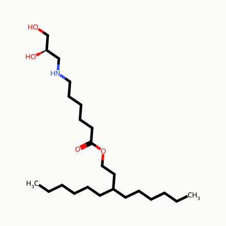 CCCCCCC(CCCCCC)CCOC(=O)CCCCCNC[C@@H](O)CO